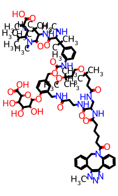 CNC(C(=O)NC(C(=O)N(C)C(/C=C(\C)C(=O)O)C(C)C)C(C)(C)C)C(C)(C)c1cccc(NC(=O)OCc2ccc(OC3OC(C(=O)O)C(O)C(O)C3O)c(CNC(=O)CCNC(=O)C(CNC(=O)CCC(C)(C)OCCC(C)(C)OC)NC(=O)CCCCC(=O)N3Cc4ccccc4-c4c(nnn4C)-c4ccccc43)c2)c1